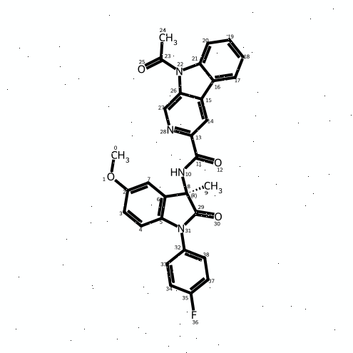 COc1ccc2c(c1)[C@@](C)(NC(=O)c1cc3c4ccccc4n(C(C)=O)c3cn1)C(=O)N2c1ccc(F)cc1